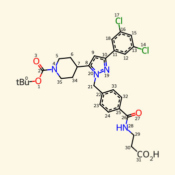 CC(C)(C)OC(=O)N1CCC(c2cc(-c3cc(Cl)cc(Cl)c3)nn2Cc2ccc(C(=O)NCCC(=O)O)cc2)CC1